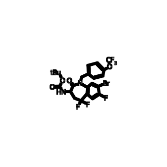 CC(C)(C)OC(=O)NC1CC(F)(F)c2cc(F)c(Br)cc2N(Cc2ccc(OC(F)(F)F)cc2)C1=O